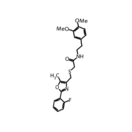 COc1ccc(CCNC(=O)CSCc2nc(-c3ccccc3F)oc2C)cc1OC